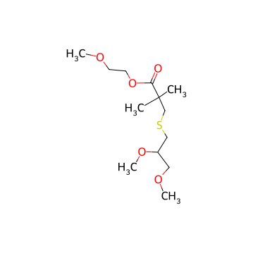 COCCOC(=O)C(C)(C)CSCC(COC)OC